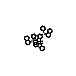 CC1(C2(C)c3ccccc3-c3ccc(N(c4ccccc4)c4cccc5ccccc45)cc32)c2ccccc2-c2ccc(N(c3ccccc3)c3cccc4ccccc34)cc21